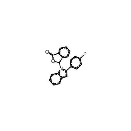 O=C1OC(n2c(-c3ccc(F)cc3)cc3ccccc32)c2ccccc21